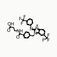 Cn1c(=Nc2cccc(C(F)(F)F)c2)n(Cc2ccc(C(=O)NCCC(=O)O)cc2)c2cc(C(F)(F)F)ccc21